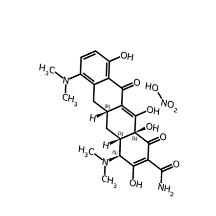 CN(C)c1ccc(O)c2c1C[C@H]1C[C@H]3[C@H](N(C)C)C(O)=C(C(N)=O)C(=O)[C@@]3(O)C(O)=C1C2=O.O=[N+]([O-])O